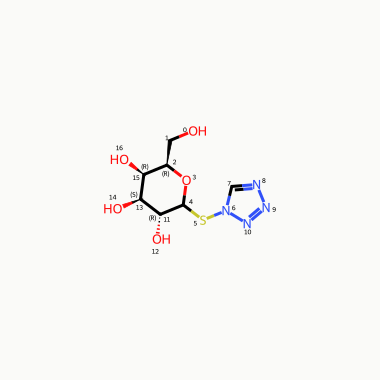 OC[C@H]1OC(Sn2cnnn2)[C@H](O)[C@@H](O)[C@H]1O